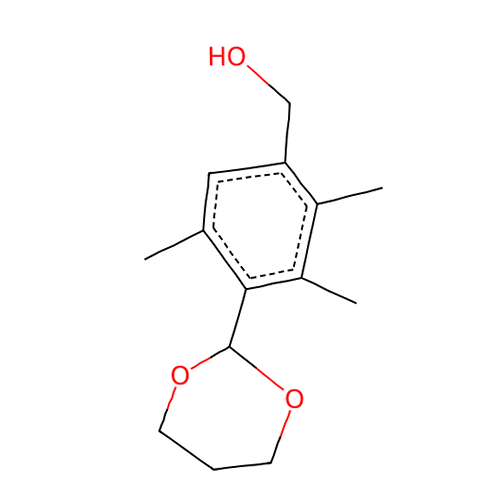 Cc1cc(CO)c(C)c(C)c1C1OCCCO1